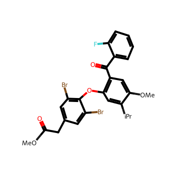 COC(=O)Cc1cc(Br)c(Oc2cc(C(C)C)c(OC)cc2C(=O)c2ccccc2F)c(Br)c1